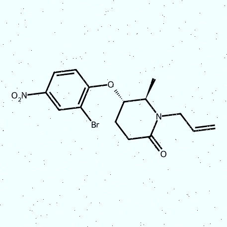 C=CCN1C(=O)CC[C@H](Oc2ccc([N+](=O)[O-])cc2Br)[C@H]1C